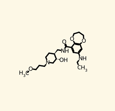 CCNc1cc2c(c(C(=O)NC[C@@H]3CCN(CCCOC)C[C@H]3O)c1)OCCCO2